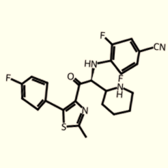 Cc1nc(C(=O)[C@@H](Nc2c(F)cc(C#N)cc2F)C2CCCCN2)c(-c2ccc(F)cc2)s1